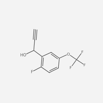 C#CC(O)c1cc(OC(F)(F)F)ccc1F